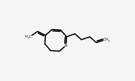 C=CCCCC1=N/CCCC(=C\C)/C=C\1